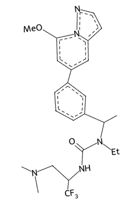 CCN(C(=O)NC(CN(C)C)C(F)(F)F)C(C)c1cccc(-c2cc(OC)n3nccc3c2)c1